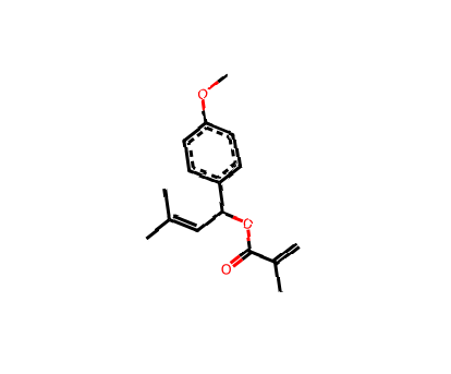 C=C(C)C(=O)OC(C=C(C)C)c1ccc(OC)cc1